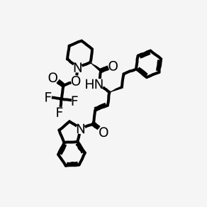 O=C(N[C@H](/C=C/C(=O)N1CCc2ccccc21)CCc1ccccc1)[C@@H]1CCCCN1OC(=O)C(F)(F)F